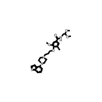 COc1cc(C(=O)NCC(OC)OC)cc(C)c1OCCCN1CCN(c2cccc3sccc23)CC1